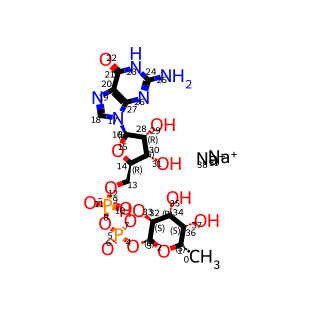 C[C@@H]1O[C@H](OP(=O)([O-])OP(=O)([O-])OC[C@H]2O[C@@H](n3cnc4c(=O)[nH]c(N)nc43)[C@H](O)[C@@H]2O)[C@@H](O)[C@H](O)[C@@H]1O.[Na+].[Na+]